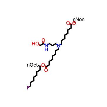 CCCCCCCCCOC(=O)CCCCCCCN(CCCCCCCC(=O)OC(CCCCCCCC)CCCCCCCI)CCCNC(=O)CO